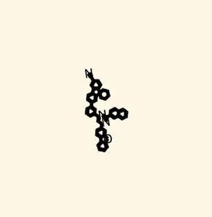 N#Cc1ccc2c(c1)-c1ccc(-c3cccc(-c4cc(-c5ccc6c(c5)oc5ccccc56)nc(-c5ccc6ccccc6c5)n4)c3)cc1C21CCCCC1